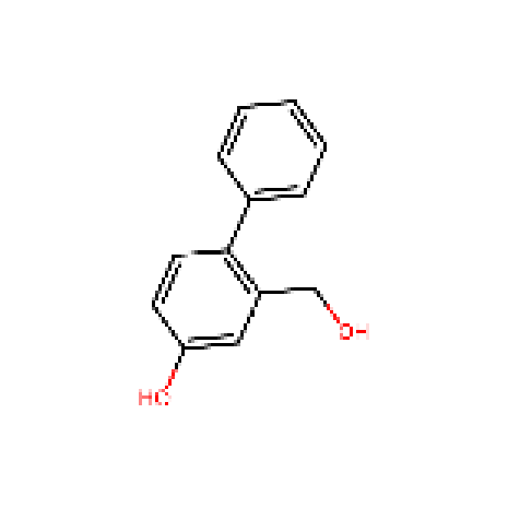 OCc1cc(O)ccc1-c1ccccc1